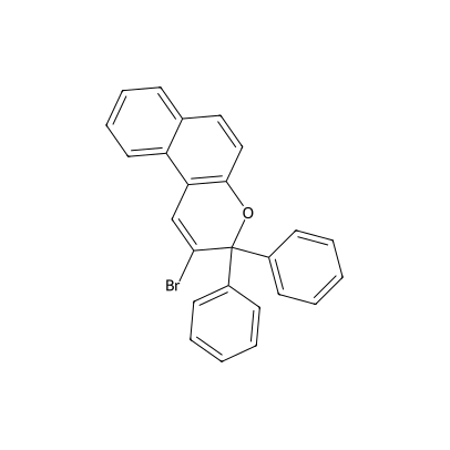 BrC1=Cc2c(ccc3ccccc23)OC1(c1ccccc1)c1ccccc1